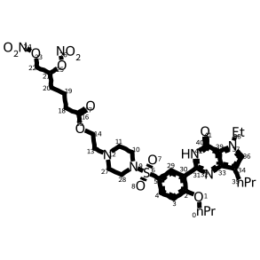 CCCOc1ccc(S(=O)(=O)N2CCN(CCOC(=O)CCCC(CO[N+](=O)[O-])O[N+](=O)[O-])CC2)cc1-c1nc2c(CCC)cn(CC)c2c(=O)[nH]1